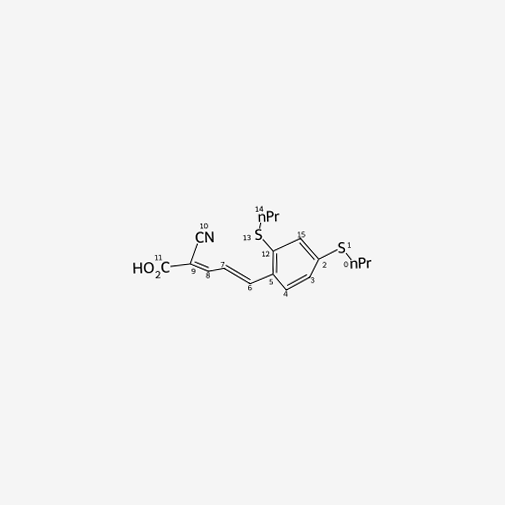 CCCSc1ccc(/C=C/C=C(\C#N)C(=O)O)c(SCCC)c1